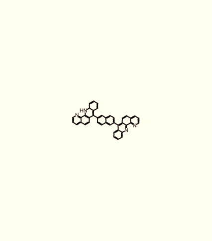 C1=CC2=C(c3ccc4cc(-c5c6ccccc6nc6c5ccc5cccnc56)ccc4c3)c3ccc4cccnc4c3NC2C=C1